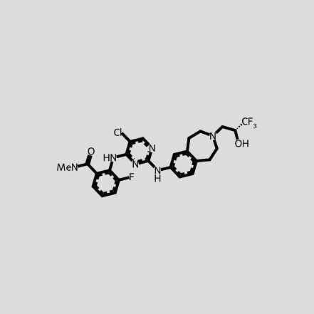 CNC(=O)c1cccc(F)c1Nc1nc(Nc2ccc3c(c2)CCN(C[C@@H](O)C(F)(F)F)CC3)ncc1Cl